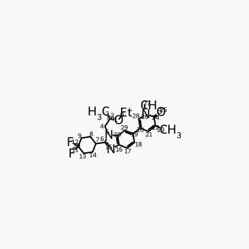 CCO[C@H](C)Cn1c(C2CCC(F)(F)CC2)nc2ccc(-c3cc(C)c(=O)n(C)c3)cc21